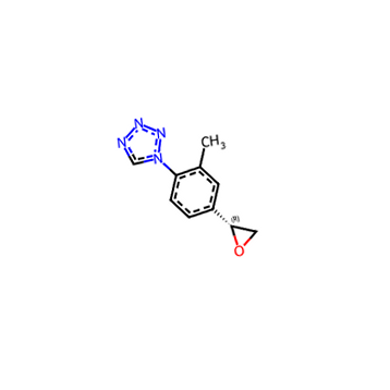 Cc1cc([C@@H]2CO2)ccc1-n1cnnn1